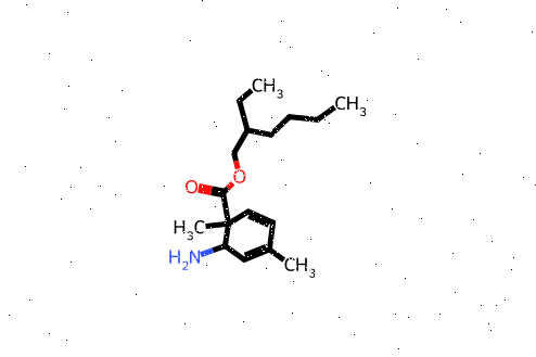 CCCCC(CC)COC(=O)C1(C)C=CC(C)=CC1N